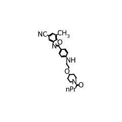 CCCC(=O)N1CCC(OCCNc2ccc(-c3nc4cc(C#N)cc(C)c4o3)cc2)CC1